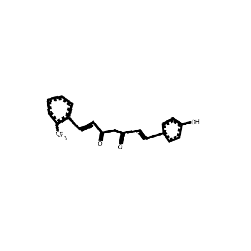 O=C(C=Cc1ccc(O)cc1)CC(=O)C=Cc1ccccc1C(F)(F)F